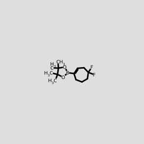 CC1(C)OB(C2=CCC(F)(F)CCC2)OC1(C)C